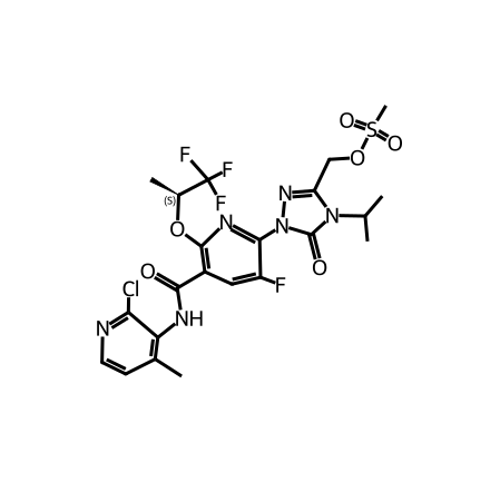 Cc1ccnc(Cl)c1NC(=O)c1cc(F)c(-n2nc(COS(C)(=O)=O)n(C(C)C)c2=O)nc1O[C@@H](C)C(F)(F)F